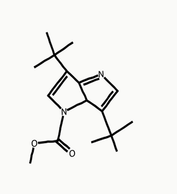 COC(=O)N1C=C(C(C)(C)C)C2=NC=C(C(C)(C)C)C21